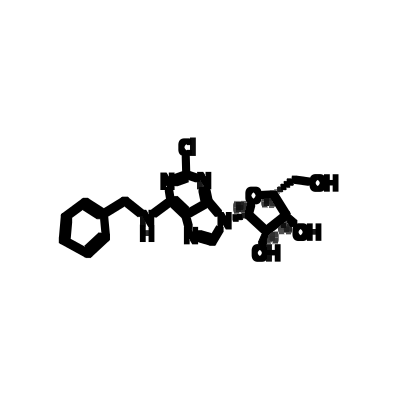 OC[C@H]1O[C@@H](n2cnc3c(NCc4ccccc4)nc(Cl)nc32)[C@H](O)[C@@H]1O